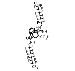 N=C(NCC(F)(F)C(F)(F)C(F)(F)C(F)(F)C(F)(F)C(F)(F)C(F)(F)F)c1c(C(=O)O)cc(C(=O)NCC(F)(F)C(F)(F)C(F)(F)C(F)(F)C(F)(F)C(F)(F)C(F)(F)F)c2c3ccc(c(=O)[nH]c3=O)c12